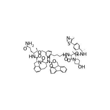 Cc1ncsc1-c1ccc([C@H](C)NC(=O)[C@@H]2C[C@@H](O)CN2C(=O)[C@@H](NC(=O)CCCCc2ccc(CO[C@H](C)[C@H](CCC(N)=O)NC(=O)[C@@H]3Cc4cccc5c4N3C(=O)[C@@H](NC(=O)OCC3c4ccccc4-c4ccccc43)CC5)cc2)C(C)(C)C)cc1